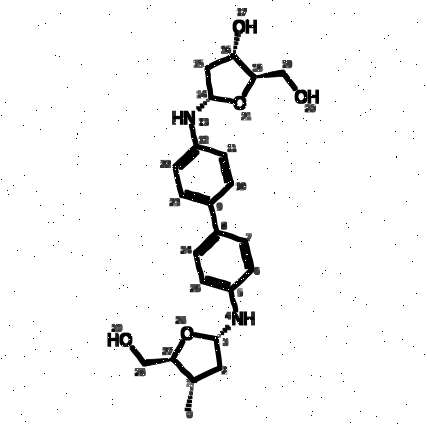 C[C@H]1C[C@@H](Nc2ccc(-c3ccc(N[C@@H]4C[C@H](O)[C@@H](CO)O4)cc3)cc2)O[C@@H]1CO